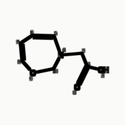 O=C(O)CN1C=CC=COC1